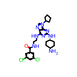 N[C@H]1CC[C@H](Nc2nc(NCCNC(=O)c3cc(Cl)cc(Cl)c3)c3ncn(C4CCCC4)c3n2)CC1